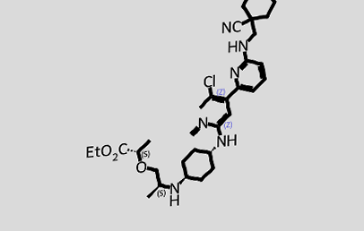 C=N/C(=C\C(=C(/C)Cl)c1cccc(NCC2(C#N)CCOCC2)n1)N[C@H]1CC[C@H](N[C@@H](C)CO[C@@H](C)C(=O)OCC)CC1